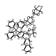 CC1(C)OB(B2OC(C)(C)C(C)(Cc3cccc(C4(c5ccccc5)c5ccccc5-c5cc(-c6ccc7ccccc7c6)c(B6OC(C)(C)C(C)(C)O6)cc54)c3)O2)OC1(C)C